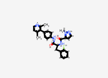 Cc1ccnc(C)c1-c1ccc(NC(=O)C(Cc2ccccc2F)NC(=O)c2ccnn2C)cc1